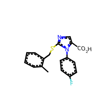 Cc1ccccc1CSc1ncc(C(=O)O)n1-c1ccc(F)cc1